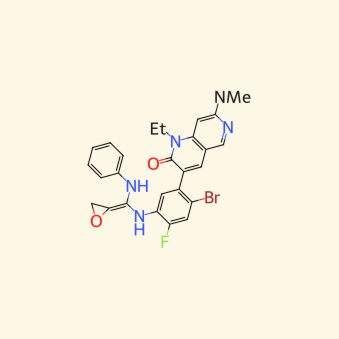 CCn1c(=O)c(-c2cc(N/C(Nc3ccccc3)=C3/CO3)c(F)cc2Br)cc2cnc(NC)cc21